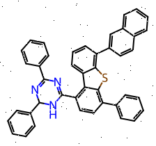 c1ccc(C2=NC(c3ccccc3)NC(c3ccc(-c4ccccc4)c4sc5c(-c6ccc7ccccc7c6)cccc5c34)=N2)cc1